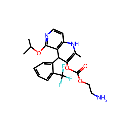 CC1=C(OC(=O)OCCN)C(c2ccccc2C(F)(F)F)c2c(ccnc2OC(C)C)N1